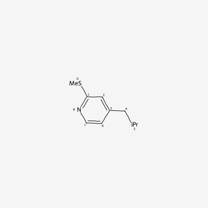 CSc1cc(CC(C)C)ccn1